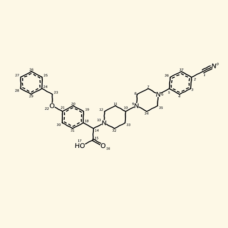 N#Cc1ccc(N2CCN(C3CCN(C(C(=O)O)c4ccc(OCc5ccccc5)cc4)CC3)CC2)cc1